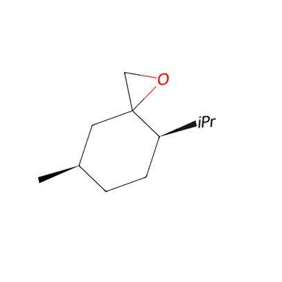 CC(C)[C@H]1CC[C@@H](C)CC12CO2